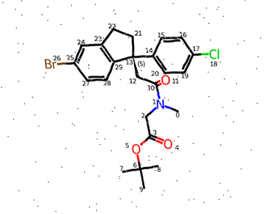 CN(CC(=O)OC(C)(C)C)C(=O)C[C@]1(c2ccc(Cl)cc2)CCc2cc(Br)ccc21